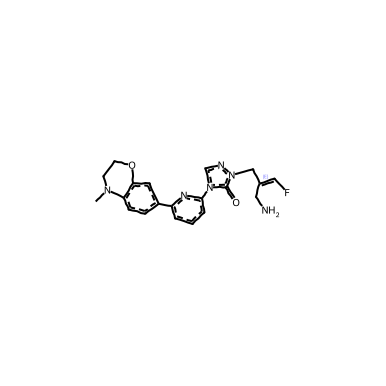 CN1CCOc2cc(-c3cccc(-n4cnn(C/C(=C/F)CN)c4=O)n3)ccc21